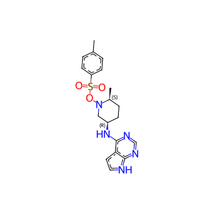 Cc1ccc(S(=O)(=O)ON2C[C@H](Nc3ncnc4[nH]ccc34)CC[C@@H]2C)cc1